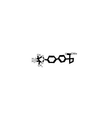 COC(=O)C1(c2ccc(-c3ccc(B4OC(C)(C)C(C)(C)O4)cc3)cc2)CCC1